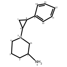 NC1CCCN(C2CC2c2ccccc2)C1